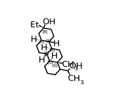 CC[C@@]1(O)CC[C@H]2[C@@H](CC[C@@H]3[C@@H]2CC[C@]2(C)C(C(C)O)CCC[C@@H]32)C1